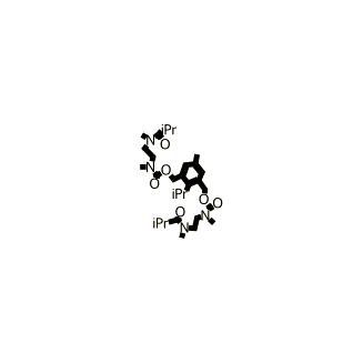 Cc1cc(COC(=O)N(C)CCN(C)C(=O)C(C)C)c(C(C)C)c(COC(=O)N(C)CCN(C)C(=O)C(C)C)c1